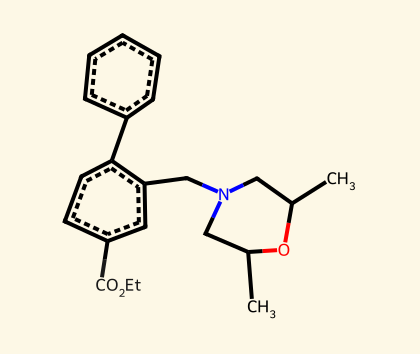 CCOC(=O)c1ccc(-c2ccccc2)c(CN2CC(C)OC(C)C2)c1